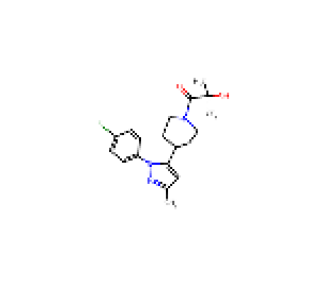 Cc1cc(C2CCN(C(=O)[C@@](C)(O)C(F)(F)F)CC2)n(-c2ccc(F)cc2)n1